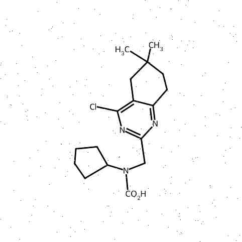 CC1(C)CCc2nc(CN(C(=O)O)C3CCCC3)nc(Cl)c2C1